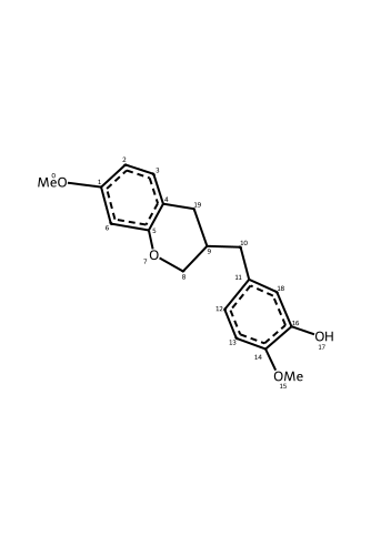 COc1ccc2c(c1)OCC(Cc1ccc(OC)c(O)c1)C2